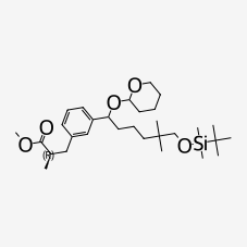 COC(=O)[C@H](C)Cc1cccc(C(CCCC(C)(C)CO[Si](C)(C)C(C)(C)C)OC2CCCCO2)c1